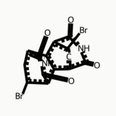 O=c1[nH]c(=O)c2c(Br)cc1c1c3c(Br)cc(c(=O)[nH]c3=O)c21